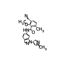 COc1c(C#N)ccc(C)c1C(=O)Nc1ccc2cnn(-c3cnn(C)c3)c2c1